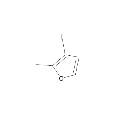 Cc1occc1I